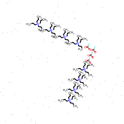 CCC[N+](CCC)(CCC)CCC.CCC[N+](CCC)(CCC)CCC.CCC[N+](CCC)(CCC)CCC.CCC[N+](CCC)(CCC)CCC.CCC[N+](CCC)(CCC)CCC.CCC[N+](CCC)(CCC)CCC.CCC[N+](CCC)(CCC)CCC.CCC[N+](CCC)(CCC)CCC.[O-]B([O-])F.[O-]B([O-])F.[O-]B([O-])F.[O-]B([O-])F